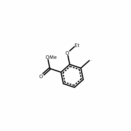 [CH2]c1cccc(C(=O)OC)c1OCC